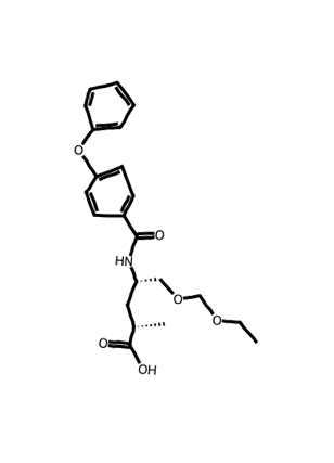 CCOCOC[C@H](C[C@H](C)C(=O)O)NC(=O)c1ccc(Oc2ccccc2)cc1